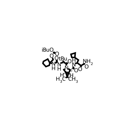 CC(C)COC(=O)OCC1(NC(=O)N[C@H](C(=O)N2C[C@H]3[C@@H]([C@H]2C(=O)NC(CC2CCC2)C(=O)C(N)=O)C3(C)C)C(C)(C)C)CCCCC1